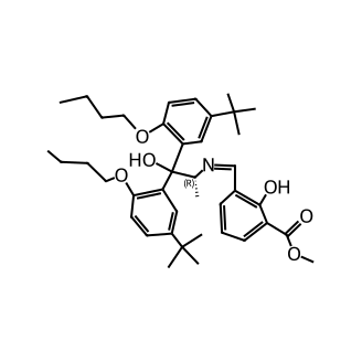 CCCCOc1ccc(C(C)(C)C)cc1C(O)(c1cc(C(C)(C)C)ccc1OCCCC)[C@@H](C)N=Cc1cccc(C(=O)OC)c1O